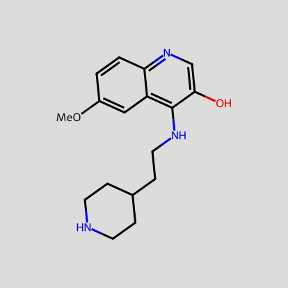 COc1ccc2ncc(O)c(NCCC3CCNCC3)c2c1